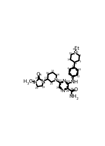 CCN1CCC(c2ccc(Nc3nc(N4CCCC(N5CCN(C)C5=O)C4)cnc3C(N)=O)cc2)CC1